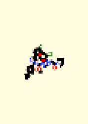 CCOc1cc(C(C)(C)C)ccc1C1=N[C@@](C)(c2ccc(Cl)cc2)[C@@H](c2ccc(Cl)cc2)N1C(=O)N1CCN(CC(=O)N2CCCC2)CC1